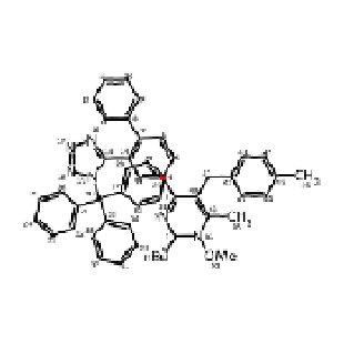 CCCCC1N=C(c2ccc(-c3ccccc3)c(-c3nnnn3C(c3ccccc3)(c3ccccc3)c3ccccc3)c2)C(Cc2ccc(C)cc2)=C(C)N1OC